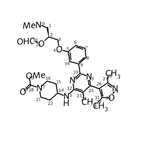 CNC[C@@H](COc1cccc(-c2nc(NC3CCN(C(=O)OC)CC3)c(C)c(-c3c(C)noc3C)n2)c1)OC=O